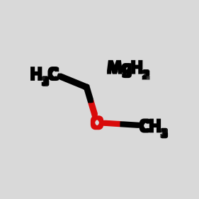 CCOC.[MgH2]